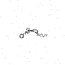 O=C(NCc1ccccc1)C1CCC(S(=O)(=O)O)C1